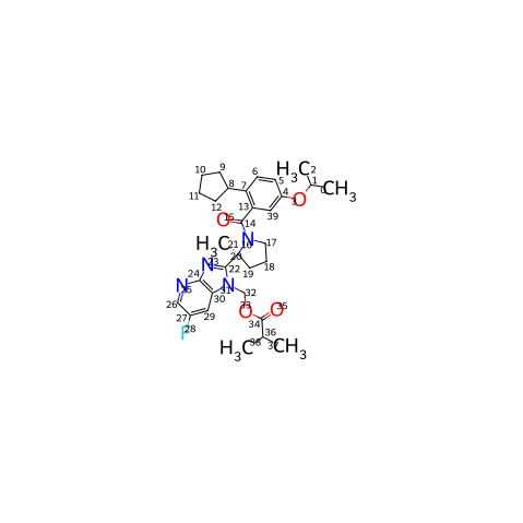 CC(C)Oc1ccc(C2CCCC2)c(C(=O)N2CCC[C@@]2(C)c2nc3ncc(F)cc3n2COC(=O)C(C)C)c1